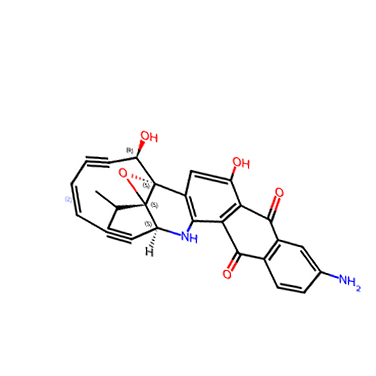 CC(C)[C@@]12O[C@]13c1cc(O)c4c(c1N[C@H]2C#C/C=C\C#C[C@H]3O)C(=O)c1ccc(N)cc1C4=O